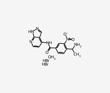 Br.Br.CC(N)c1ccc(C(=O)Nc2ccnc3[nH]ncc23)cc1[N+](=O)[O-].O